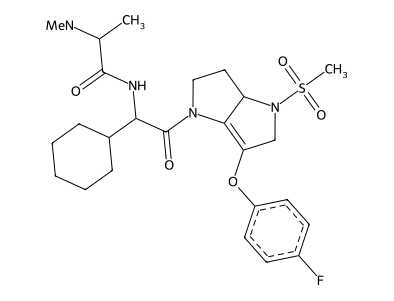 CNC(C)C(=O)NC(C(=O)N1CCC2C1=C(Oc1ccc(F)cc1)CN2S(C)(=O)=O)C1CCCCC1